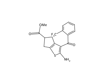 COC(=O)C1Cc2sc(N)c(C(=O)c3ccccc3C(F)(F)F)c2C1